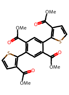 COC(=O)c1cc(-c2sccc2C(=O)OC)c(C(=O)OC)cc1-c1sccc1C(=O)OC